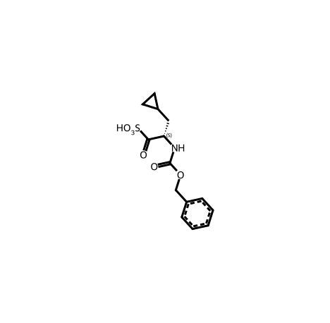 O=C(N[C@@H](CC1CC1)C(=O)S(=O)(=O)O)OCc1ccccc1